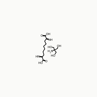 N=C(CCCCCCC(=N)C(=O)O)C(=O)O.NC(CO)(CO)CO